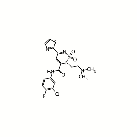 CN(C)CCN1C(C(=O)Nc2ccc(F)c(Cl)c2)=CC(c2nccs2)=NS1(=O)=O